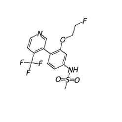 CS(=O)(=O)Nc1ccc(-c2cnccc2C(F)(F)F)c(OCCF)c1